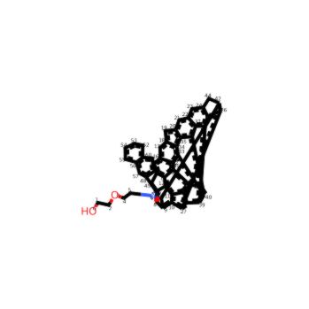 OCCOCCN1CC2C3=c4c5c6c7c(cc8cc9cc%10cc%11cc%12c%13c(c4c4c5c5c7c8c7c9c%10c8c%11c%13c4c8c75)=C(C3)C%12)CC62C1c1ccc2ccccc2c1